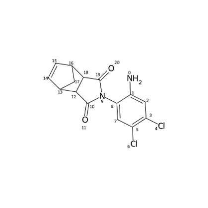 Nc1cc(Cl)c(Cl)cc1N1C(=O)C2C3C=CC(C3)C2C1=O